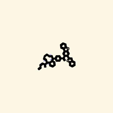 C=C/C=C\C(=C)C1=c2\cccc\c2=C(c2ccc(C(=C)c3cc4c(cc3-c3cc5ccccc5o3)oc3ccccc34)cc2)\C=C\CC\C=C\1